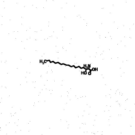 CCCCCCCCCCCCCCCCC(O)C(N)C(=O)O